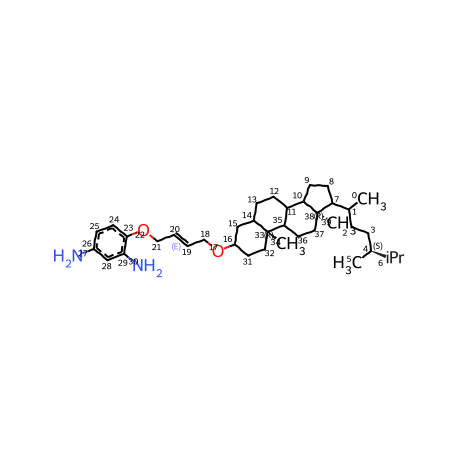 CC(CC[C@H](C)C(C)C)C1CCC2C3CCC4CC(OC/C=C/COc5ccc(N)cc5N)CC[C@@]4(C)C3CC[C@]12C